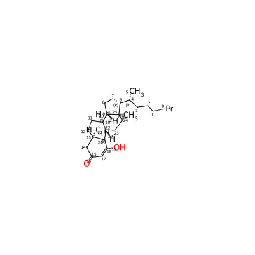 CC(C)CCC[C@@H](C)[C@H]1CC[C@H]2[C@@H]3CCC4CC(=O)C=C(O)[C@]4(C)[C@H]3CC[C@]12C